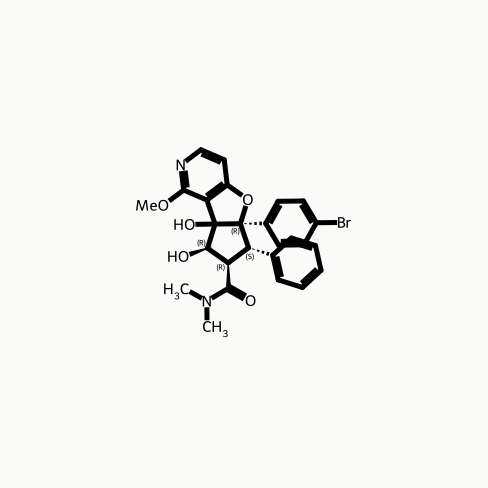 COc1nccc2c1C1(O)[C@H](O)[C@H](C(=O)N(C)C)[C@@H](c3ccccc3)[C@]1(c1ccc(Br)cc1)O2